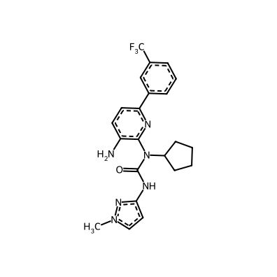 Cn1ccc(NC(=O)N(c2nc(-c3cccc(C(F)(F)F)c3)ccc2N)C2CCCC2)n1